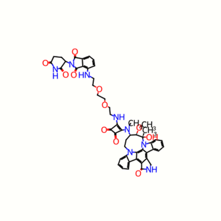 CO[C@@H]1[C@H](N(C)c2c(NCCOCCOCCNc3cccc4c3C(=O)N(C3CCC(=O)NC3=O)C4=O)c(=O)c2=O)CCn2c3ccccc3c3c4c(c5c6ccccc6n(c5c32)[C@@]1(C)O)CNC4=O